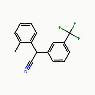 Cc1ccccc1C(C#N)c1cccc(C(F)(F)F)c1